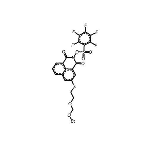 CCOCOCCSc1cc2c3c(cccc3c1)C(=O)N(OS(=O)(=O)c1c(F)c(F)c(F)c(F)c1F)C2=O